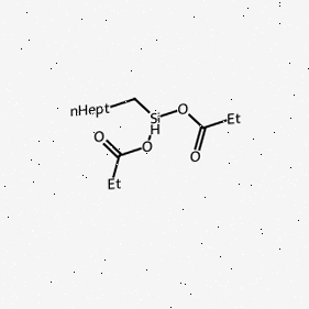 CCCCCCCC[SiH](OC(=O)CC)OC(=O)CC